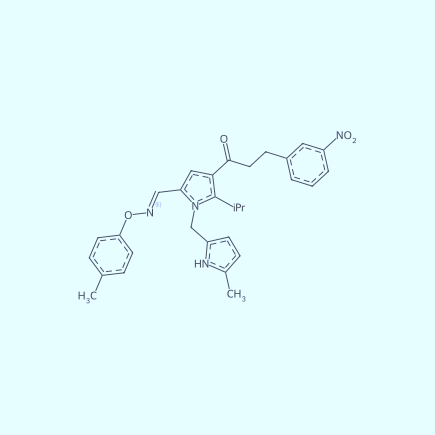 Cc1ccc(O/N=C/c2cc(C(=O)CCc3cccc([N+](=O)[O-])c3)c(C(C)C)n2Cc2ccc(C)[nH]2)cc1